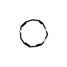 [C]1=CC=CCCC=CCC=CCCC1